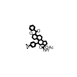 CCCC(=O)[C@@]1(OC(C)=O)CCC2C3CCC4=C(C(=O)c5ccccc5)C(=O)CCC4=C3C(c3ccc(N(C)C)cc3)C[C@@]21C